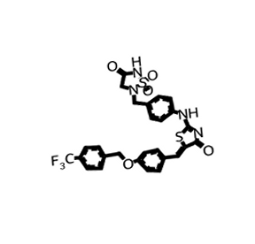 O=C1CN(Cc2ccc(NC3=NC(=O)/C(=C/c4ccc(OCc5ccc(C(F)(F)F)cc5)cc4)S3)cc2)S(=O)(=O)N1